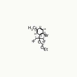 CCOCOC(CF)(CF)c1cc(C)ccc1Br